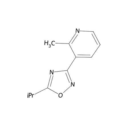 Cc1ncccc1-c1noc(C(C)C)n1